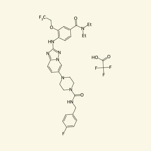 CCN(CC)C(=O)c1ccc(Nc2nc3ccc(N4CCN(C(=O)NCc5ccc(F)cc5)CC4)cn3n2)c(OCC(F)(F)F)c1.O=C(O)C(F)(F)F